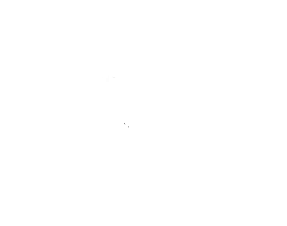 CCCc1cccc2c1NCCC2